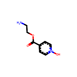 NCCOC(=O)c1cc[n+](O)cc1